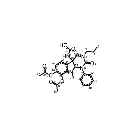 CCCN1C(=O)N(c2ccccc2)C(NC)C(NC(=O)O)(c2ccc(OC(C)=O)c(OC(C)=O)c2)C1=O